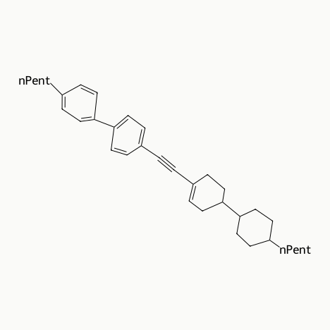 CCCCCc1ccc(-c2ccc(C#CC3=CCC(C4CCC(CCCCC)CC4)CC3)cc2)cc1